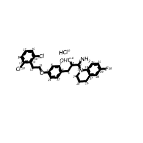 Cl.NC(C(C=O)Cc1ccc(OCCc2c(Cl)cccc2Cl)cc1)N1CCCc2cc(F)ccc21